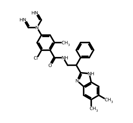 Cc1cc2nc(C(CNC(=O)c3c(C)cc(N(C=N)C=N)cc3Cl)c3ccccc3)[nH]c2cc1C